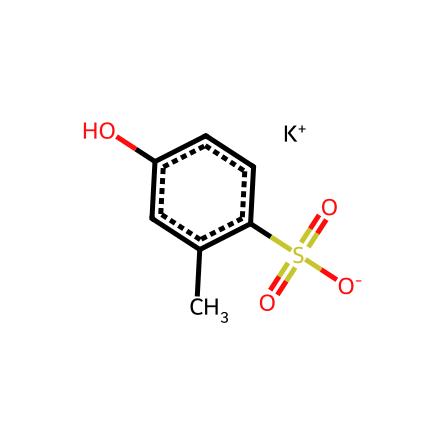 Cc1cc(O)ccc1S(=O)(=O)[O-].[K+]